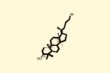 C/C(CCCC(C)C)=C1/CC[C@@]2(C)C3CCC4C(C)(C)[C@@H](O)CC[C@@]45C[C@@]35CC[C@]12C